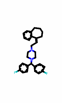 Fc1ccc(C(c2ccc(F)cc2)N2CCN(C/C=C3/CCCCc4ccccc43)CC2)cc1